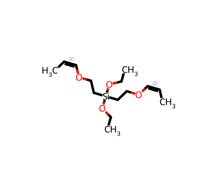 C/C=C\OCC[Si](CCO/C=C\C)(OCC)OCC